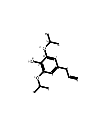 C=CCc1cc(OC(C)C)c(O)c(OC(C)C)c1